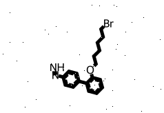 N=Nc1ccc(-c2ccccc2OCCCCCCBr)cc1